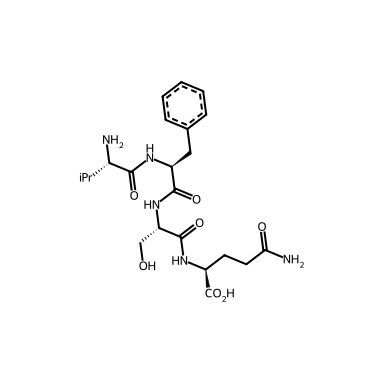 CC(C)[C@H](N)C(=O)N[C@@H](Cc1ccccc1)C(=O)N[C@@H](CO)C(=O)N[C@@H](CCC(N)=O)C(=O)O